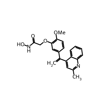 C=C(c1ccc(OC)c(OCC(=O)NO)c1)c1cc(C)nc2ccccc12